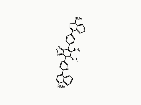 CNc1ccc(-c2ccc(-c3c(N)c(N)c(-c4ccc(-c5ccc(NC)c6ccccc56)cc4)c4nsnc34)cc2)c2ccccc12